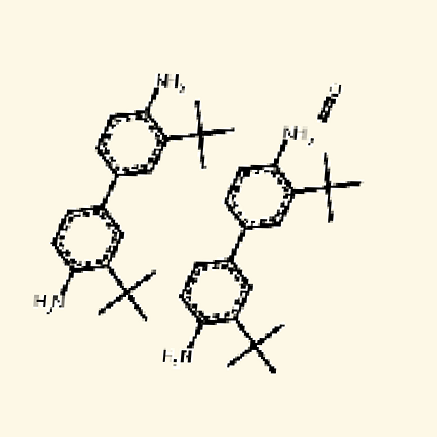 C=O.CC(C)(C)c1cc(-c2ccc(N)c(C(C)(C)C)c2)ccc1N.CC(C)(C)c1cc(-c2ccc(N)c(C(C)(C)C)c2)ccc1N